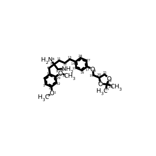 COc1ccc(CC(N)(CN)CCCc2ccc(OCC3COC(C)(C)O3)cc2)c(OC)c1